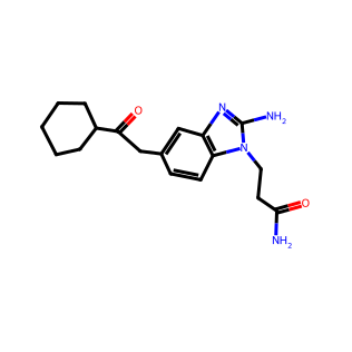 NC(=O)CCn1c(N)nc2cc(CC(=O)C3CCCCC3)ccc21